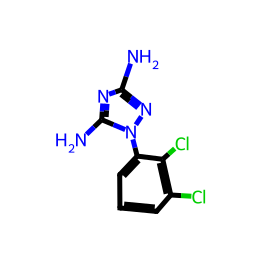 Nc1nc(N)n(-c2cccc(Cl)c2Cl)n1